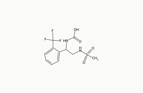 CS(=O)(=O)NCC(NC(=O)O)c1ccccc1C(F)(F)F